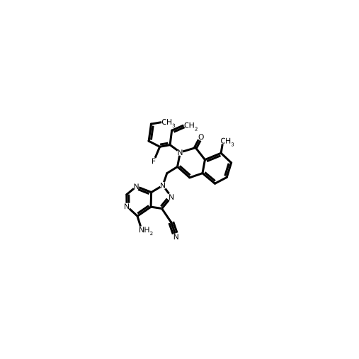 C=C/C(=C(F)\C=C/C)n1c(Cn2nc(C#N)c3c(N)ncnc32)cc2cccc(C)c2c1=O